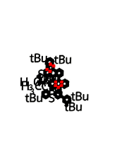 C[C@@H]1B2c3cc4c(cc3N(c3c(-c5ccccc5)cccc3-c3ccccc3)c3cc(-c5cc(C(C)(C)C)cc(C(C)(C)C)c5)cc(c32)S/C=C/C1(C)C)N(c1ccccc1)c1cc(-c2cc(C(C)(C)C)cc(C(C)(C)C)c2)cc2c1B4c1ccc(C(C)(C)C)cc1S2